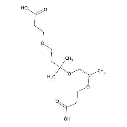 CN(COC(C)(C)CCOCCC(=O)O)OCCC(=O)O